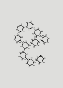 c1cncc(-c2cccc(-c3cccc(-c4cc(-c5cccc(-c6cccc(-c7cccnc7)c6)c5)cc(-c5ccc6c7ccccc7c7ccccc7c6c5)c4)c3)c2)c1